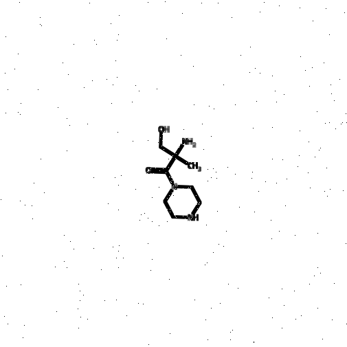 CC(N)(CO)C(=O)N1CCNCC1